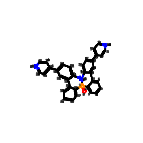 O=P12c3ccccc3-c3cc(-c4ccncc4)ccc3N1c1ccc(-c3ccncc3)cc1-c1ccccc12